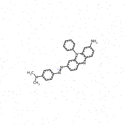 CN(C)c1ccc(/N=N/c2ccc3nc4ccc(N)cc4[n+](-c4ccccc4)c3c2)cc1